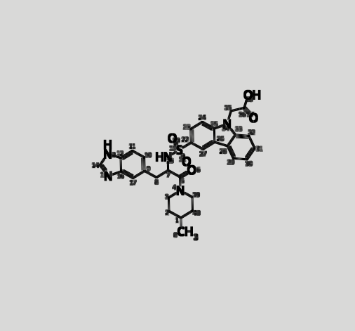 CC1CCN(C(=O)C(Cc2ccc3[nH]cnc3c2)NS(=O)(=O)c2ccc3c(c2)c2ccccc2n3CC(=O)O)CC1